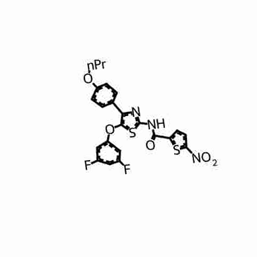 CCCOc1ccc(-c2nc(NC(=O)c3ccc([N+](=O)[O-])s3)sc2Oc2cc(F)cc(F)c2)cc1